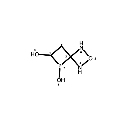 OC1CC2(NON2)P1O